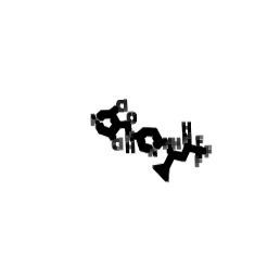 N=C(/C=C(\Nc1ccc(NC(=O)c2c(Cl)cncc2Cl)cn1)C1CC1)C(F)(F)F